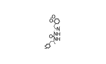 C[C@@H](Cc1ccsc1)NC(=O)NC[C@H](Cc1cccc2c1OCO2)N(C)C